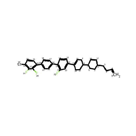 C=CCCC1CCC(C2CC=C(c3ccc(-c4ccc(-c5ccc(CC)c(F)c5F)cc4)c(F)c3)CC2)CC1